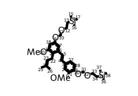 COc1cc(C=Cc2cc(OCOCC[Si](C)(C)C)cc(OC)c2CC=C(C)C)ccc1OCOCC[Si](C)(C)C